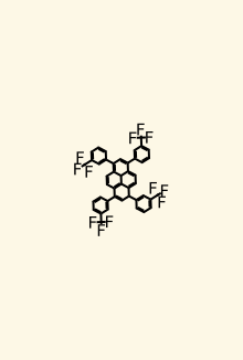 FC(F)(F)c1cccc(C2=CC(c3cccc(C(F)(F)F)c3)=C3C=CC4=C5C(=CC=C2C35)C(c2cccc(C(F)(F)F)c2)C=C4c2cccc(C(F)(F)F)c2)c1